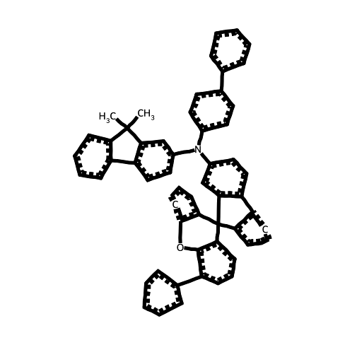 CC1(C)c2ccccc2-c2ccc(N(c3ccc(-c4ccccc4)cc3)c3ccc4c(c3)C3(c5ccccc5Oc5c(-c6ccccc6)cccc53)c3ccccc3-4)cc21